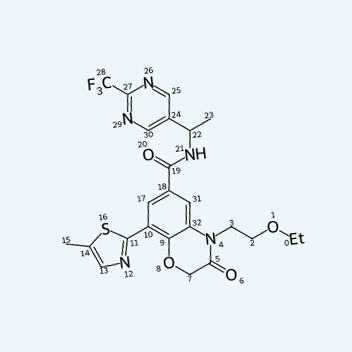 CCOCCN1C(=O)COc2c(-c3ncc(C)s3)cc(C(=O)NC(C)c3cnc(C(F)(F)F)nc3)cc21